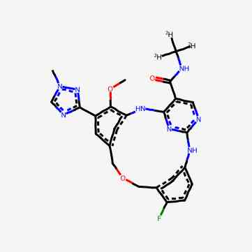 [2H]C([2H])([2H])NC(=O)c1cnc2nc1Nc1cc(cc(-c3ncn(C)n3)c1OC)COCc1cc(ccc1F)N2